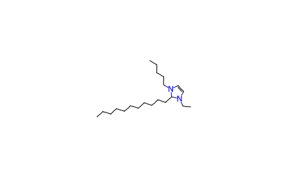 CCCCCCCCCCCC1N(CC)C=CN1CCCCC